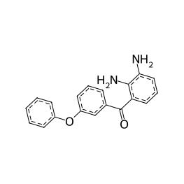 Nc1cccc(C(=O)c2cccc(Oc3ccccc3)c2)c1N